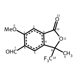 COc1cc2c(cc1C=O)C(C)(C(F)(F)F)OC2=O